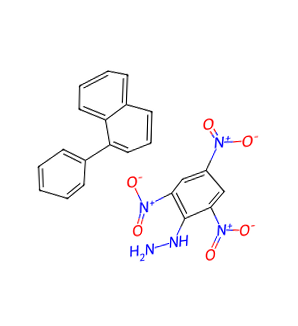 NNc1c([N+](=O)[O-])cc([N+](=O)[O-])cc1[N+](=O)[O-].c1ccc(-c2cccc3ccccc23)cc1